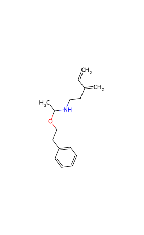 C=CC(=C)CCNC(C)OCCc1ccccc1